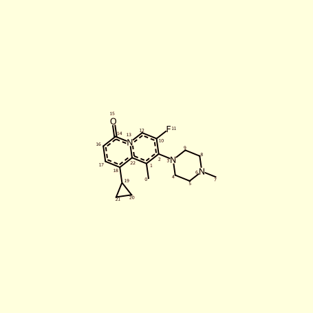 Cc1c(N2CCN(C)CC2)c(F)cn2c(=O)ccc(C3CC3)c12